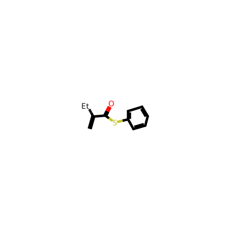 C=C(CC)C(=O)Sc1ccccc1